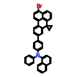 Brc1ccc2c3c(cccc13)C1(CC1)c1cc(-c3ccc(N(c4ccccc4)c4cccc5ccccc45)cc3)ccc1-2